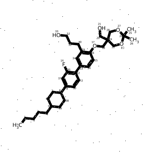 CCCCCC1CCC(c2ccc(-c3ccc(OCC4(CO)COC(C)(C)OC4)c(CCCO)c3)c(F)c2)CC1